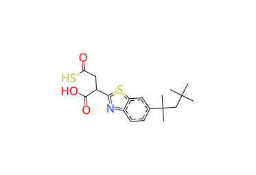 CC(C)(C)CC(C)(C)c1ccc2nc(C(CC(=O)S)C(=O)O)sc2c1